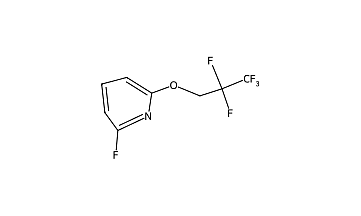 Fc1cccc(OCC(F)(F)C(F)(F)F)n1